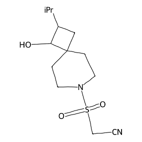 CC(C)C1CC2(CCN(S(=O)(=O)CC#N)CC2)C1O